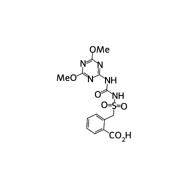 COc1nc(NC(=O)NS(=O)(=O)Cc2ccccc2C(=O)O)nc(OC)n1